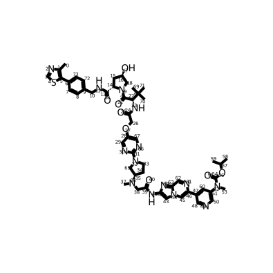 Cc1ncsc1-c1ccc(CNC(=O)[C@@H]2C[C@@H](O)CN2C(=O)[C@@H](NC(=O)COc2cnc(N3CC[C@@H](N(C)CC(=O)Nc4cn5cc(-c6cncc(N(C)C(=O)OC(C)C)c6)ncc5n4)C3)nc2)C(C)(C)C)cc1